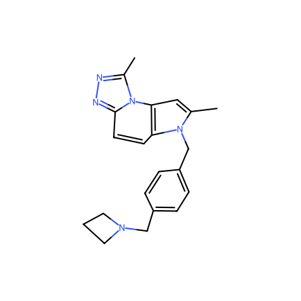 Cc1cc2c(ccc3nnc(C)n32)n1Cc1ccc(CN2CCC2)cc1